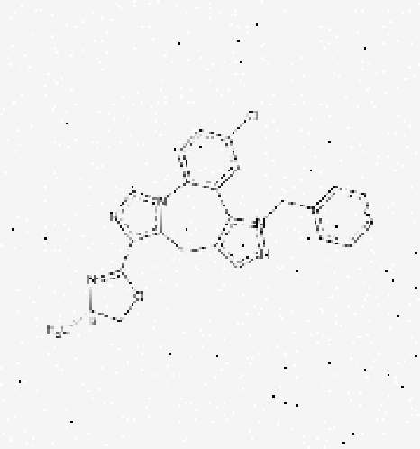 C[C@H]1COC(c2ncn3c2Cc2cnn(Cc4ccccc4)c2-c2cc(Cl)ccc2-3)=N1